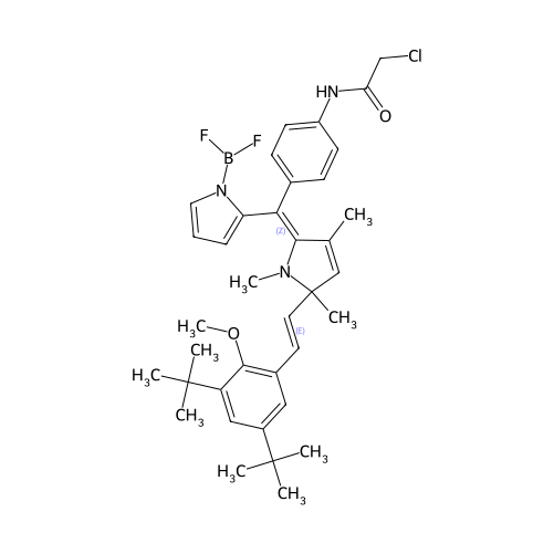 COc1c(/C=C/C2(C)C=C(C)/C(=C(\c3ccc(NC(=O)CCl)cc3)c3cccn3B(F)F)N2C)cc(C(C)(C)C)cc1C(C)(C)C